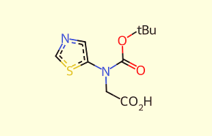 CC(C)(C)OC(=O)N(CC(=O)O)c1cncs1